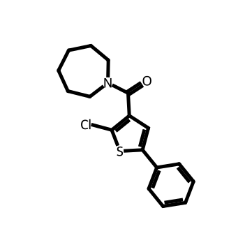 O=C(c1cc(-c2ccccc2)sc1Cl)N1CCCCCC1